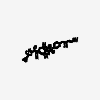 O=C(N[C@@H]1C[C@@H]2CC3(S(=O)(=O)c4ccc(CNCCO)cc4)C[C@H](C1)C23)c1cc(C2CC2)on1